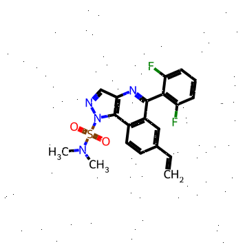 C=Cc1ccc2c(c1)c(-c1c(F)cccc1F)nc1cnn(S(=O)(=O)N(C)C)c12